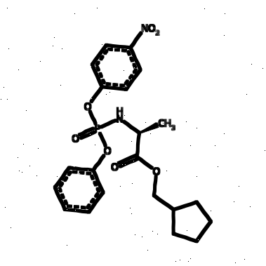 C[C@H](NP(=O)(Oc1ccccc1)Oc1ccc([N+](=O)[O-])cc1)C(=O)OCC1CCCC1